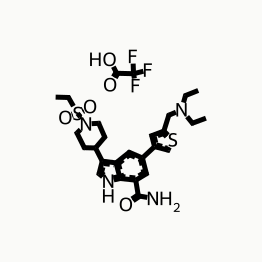 CCN(CC)Cc1cc(-c2cc(C(N)=O)c3[nH]cc(C4CCN(S(=O)(=O)CC)CC4)c3c2)cs1.O=C(O)C(F)(F)F